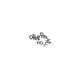 Cc1c(CNCc2cccc(-c3csc(-c4nc5ccccc5[nH]4)c3)c2)cccc1C(=O)O